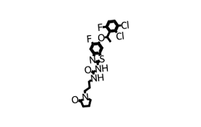 CC(Oc1cc2sc(NC(=O)NCCCN3CCCC3=O)nc2cc1F)c1c(F)ccc(Cl)c1Cl